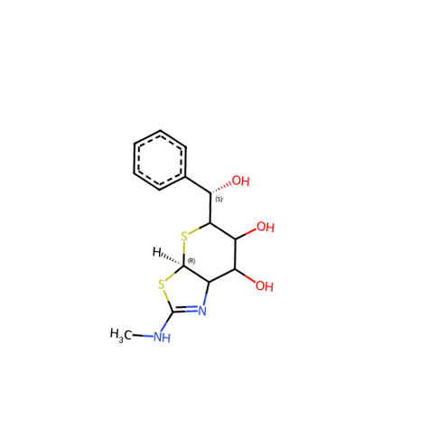 CNC1=NC2C(O)C(O)C([C@@H](O)c3ccccc3)S[C@@H]2S1